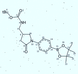 CC(C)(C)OC(=O)NCC1CC(=O)N(c2ccc(B3OC(C)(C)C(C)(C)O3)cc2)C1